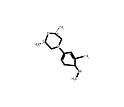 CNC1CC=C(N2C[C@@H](C)O[C@@H](C)C2)C=C1C